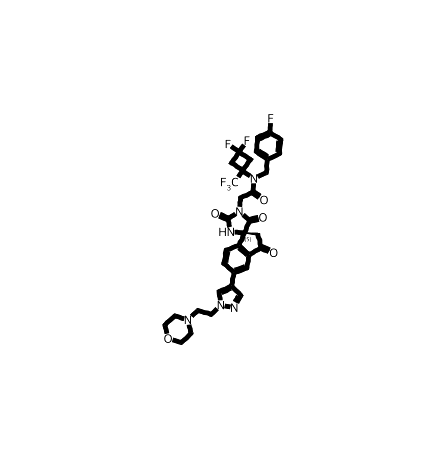 O=C1C[C@]2(NC(=O)N(CC(=O)N(Cc3ccc(F)cc3)C3(C(F)(F)F)CC(F)(F)C3)C2=O)c2ccc(-c3cnn(CCN4CCOCC4)c3)cc21